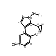 FSn1cnc(-c2cc(Cl)ccc2Cl)c1C1CC1